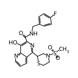 CS(=O)(=O)N1CCSC(c2nc(C(=O)NCc3ccc(F)cc3)c(O)c3ncccc23)C1